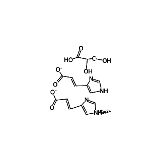 O=C(O)C(O)CO.O=C([O-])C=Cc1c[nH]cn1.O=C([O-])C=Cc1c[nH]cn1.[Se+2]